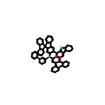 c1ccc(-c2cccc(N(c3ccc4c5ccccc5c5ccccc5c4c3)c3cc4c(cc3-c3cccc5c3oc3ccccc35)-c3ccccc3C43c4ccccc4-c4ccccc43)c2)cc1